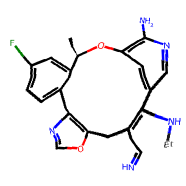 CCN/C1=C(\C=N)Cc2ocnc2-c2ccc(F)cc2[C@@H](C)Oc2cc1cnc2N